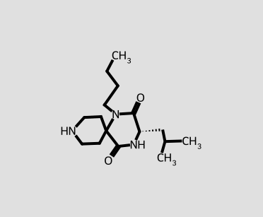 CCCCN1C(=O)[C@H](CC(C)C)NC(=O)C12CCNCC2